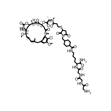 COc1cc2cc(c1Cl)N(C)C(=O)C[C@H](OC(=O)[C@H](C)N(C)C(=O)CCSC1CC(=O)N(CC3CCC(C(=O)NCCCCC(NC(=O)CNC(=O)CNC(=O)CN)C(N)=O)CC3)C1=O)[C@]1(C)O[C@H]1[C@H](C)C1C[C@@](O)(NC(=O)O1)[C@H](OC)/C=C/C=C(\C)C2